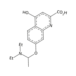 CCN(CC)C(C)Oc1ccc2c(O)cc(C(=O)O)nc2c1